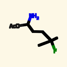 CC(=O)OC(N)CCC(C)(C)F